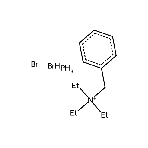 Br.CC[N+](CC)(CC)Cc1ccccc1.P.[Br-]